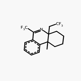 CC12CCCCC1(CC(F)(F)F)N=C(C(F)(F)F)c1ccccc12